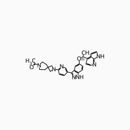 CC(=O)N1CCC2(CC1)CN(c1ccc(-c3n[nH]c4ccc(O[C@@H](C)c5ccnc6[nH]ccc56)cc34)cn1)C2